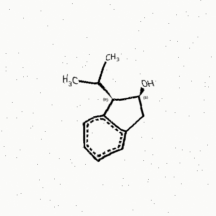 CC(C)[C@@H]1c2ccccc2C[C@@H]1O